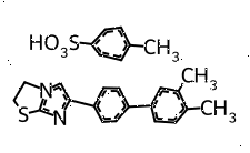 Cc1ccc(-c2ccc(-c3cn4c(n3)SCC4)cc2)cc1C.Cc1ccc(S(=O)(=O)O)cc1